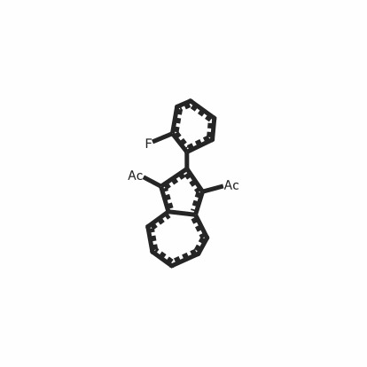 CC(=O)c1c2cccccc-2c(C(C)=O)c1-c1ccccc1F